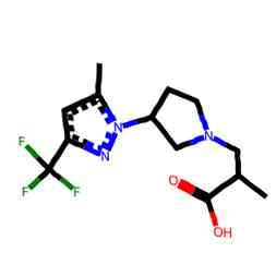 Cc1cc(C(F)(F)F)nn1C1CCN(CC(C)C(=O)O)C1